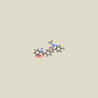 O=C(NC1CC1)/C(=C\c1ccc(C(=O)Nc2ccccc2O)cc1)c1ccc(F)cc1